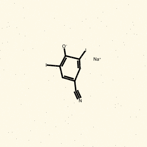 N#Cc1cc(I)c([O-])c(I)c1.[Na+]